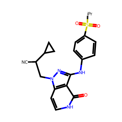 CC(C)S(=O)(=O)c1ccc(Nc2nn(CC(C#N)C3CC3)c3cc[nH]c(=O)c23)cc1